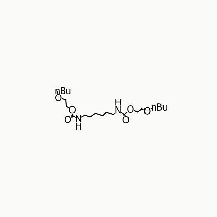 CCCCOCCOC(=O)NCCCCCCNC(=O)OCCOCCCC